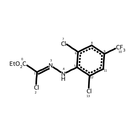 CCOC(=O)C(Cl)=NNc1c(Cl)cc(C(F)(F)F)cc1Cl